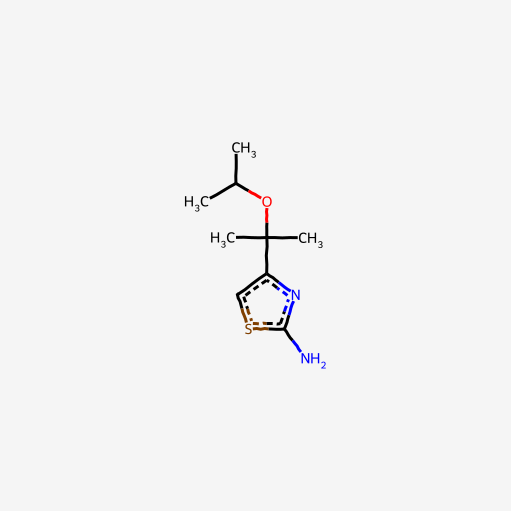 CC(C)OC(C)(C)c1csc(N)n1